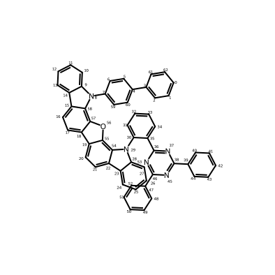 c1ccc(-c2ccc(-n3c4ccccc4c4ccc5c6ccc7c8ccccc8n(-c8ccccc8-c8nc(-c9ccccc9)nc(-c9ccccc9)n8)c7c6oc5c43)cc2)cc1